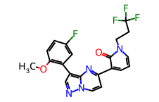 COc1ccc(F)cc1-c1cnn2ccc(-c3cccn(CCC(F)(F)F)c3=O)nc12